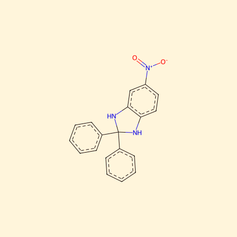 O=[N+]([O-])c1ccc2c(c1)NC(c1ccccc1)(c1ccccc1)N2